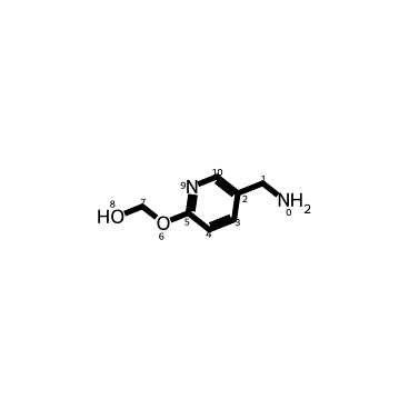 NCc1ccc(OCO)nc1